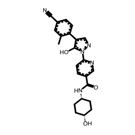 Cc1cc(C#N)ccc1-c1cnn(-c2ccc(C(=O)N[C@H]3CC[C@@H](O)CC3)cn2)c1O